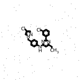 CCc1cc(Nc2ccc(Cn3cc(Cl)cn3)cc2)nc(-c2cccc(Cl)c2)n1